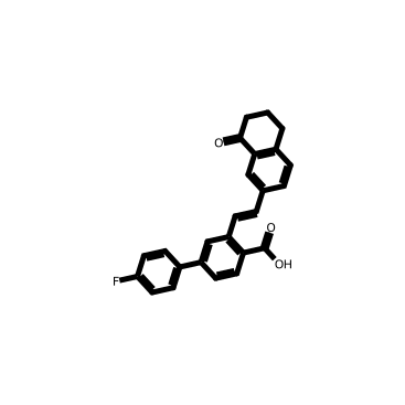 O=C(O)c1ccc(-c2ccc(F)cc2)cc1C=Cc1ccc2c(c1)C(=O)CCC2